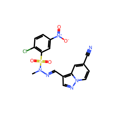 CN(N=Cc1cnn2ccc(C#N)cc12)S(=O)(=O)c1cc([N+](=O)[O-])ccc1Cl